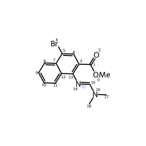 COC(=O)c1cc(Br)c2ccccc2c1/N=C/N(C)C